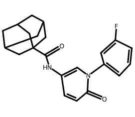 O=C(Nc1ccc(=O)n(-c2cccc(F)c2)c1)C12CC3CC(CC(C3)C1)C2